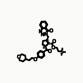 CS(C)(C)CCOC(=O)[C@H]1[C@H](Cn2nnc3ccccc3c2=O)CC[C@@H]1C(=O)c1ccc(OCCC2CCOCC2)cc1